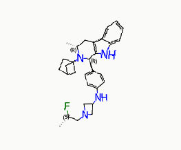 C[C@H](F)CN1CC(Nc2ccc([C@@H]3c4[nH]c5ccccc5c4C[C@@H](C)N3C34CCC(C3)C4)cc2)C1